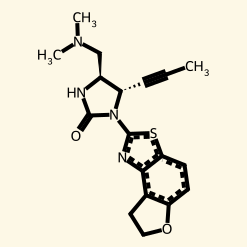 CC#C[C@H]1[C@H](CN(C)C)NC(=O)N1c1nc2c3c(ccc2s1)OCC3